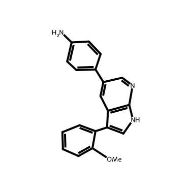 COc1ccccc1-c1c[nH]c2ncc(-c3ccc(N)cc3)cc12